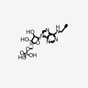 C#CCNc1ncnc2c1ncn2[C@@H]1O[C@H](COP(=O)(O)O)[C@H](O)C1O